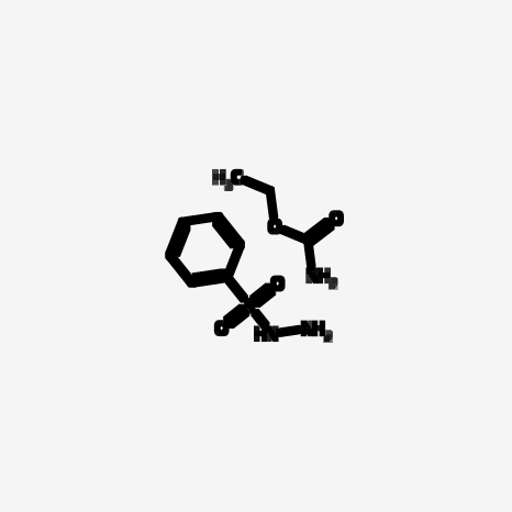 CCOC(N)=O.NNS(=O)(=O)c1ccccc1